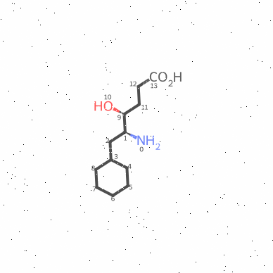 N[C@@H](CC1CCCCC1)[C@@H](O)CCC(=O)O